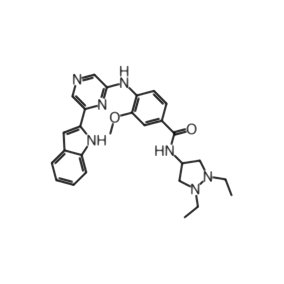 CCN1CC(NC(=O)c2ccc(Nc3cncc(-c4cc5ccccc5[nH]4)n3)c(OC)c2)CN1CC